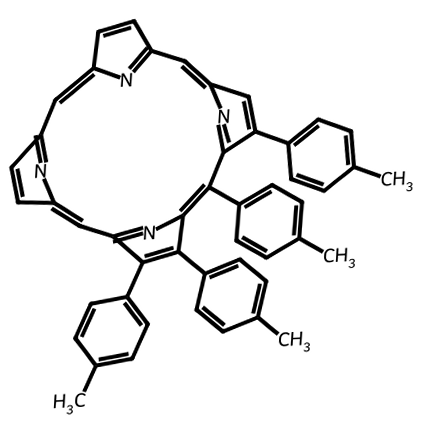 Cc1ccc(C2=CC3=CC4=NC(=CC5=NC(=CC6=NC(=C(c7ccc(C)cc7)C2=N3)C(c2ccc(C)cc2)=C6c2ccc(C)cc2)C=C5)C=C4)cc1